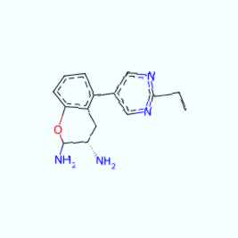 CCc1ncc(-c2cccc3c2C[C@H](N)C(N)O3)cn1